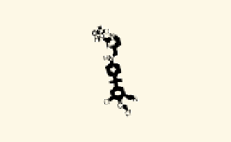 CC(C)(c1ccc(NCc2ccnc(NS(C)(=O)=O)n2)cc1)c1cc(Cl)c(OCCl)c(C#N)c1